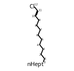 CCCCCCCCCCCCCCCC/C=C/Cl